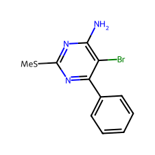 CSc1nc(N)c(Br)c(-c2ccccc2)n1